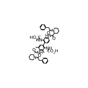 Cc1cc(-c2ccc(NC(=O)C3CCCCN3C(=O)Cc3ccccc3)cc2NC(=O)O)c(NC(=O)O)c(C)c1NC(=O)[C@H]1CCCCN1C(=O)Cc1ccccc1